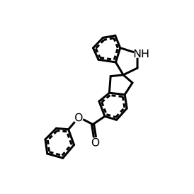 O=C(Oc1ccccc1)c1ccc2c(c1)CC1(CNc3ccccc31)C2